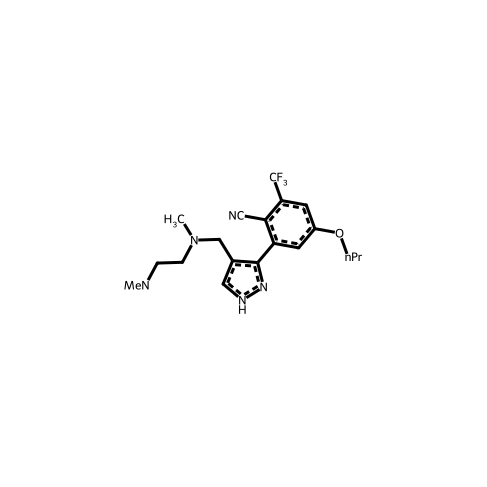 CCCOc1cc(-c2n[nH]cc2CN(C)CCNC)c(C#N)c(C(F)(F)F)c1